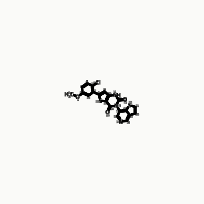 COc1ccc(Cl)c(-c2cc3[nH]c(=O)n(-c4cncc5ccsc45)c(=O)c3s2)c1